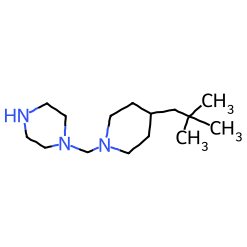 CC(C)(C)CC1CCN(CN2CCNCC2)CC1